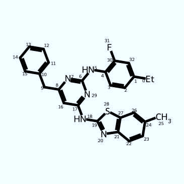 CCc1ccc(Nc2nc(Cc3ccccc3)cc(Nc3nc4ccc(C)cc4s3)n2)c(F)c1